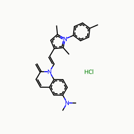 C=C1C=Cc2cc(N(C)C)ccc2N1/C=C/c1cc(C)n(-c2ccc(C)cc2)c1C.Cl